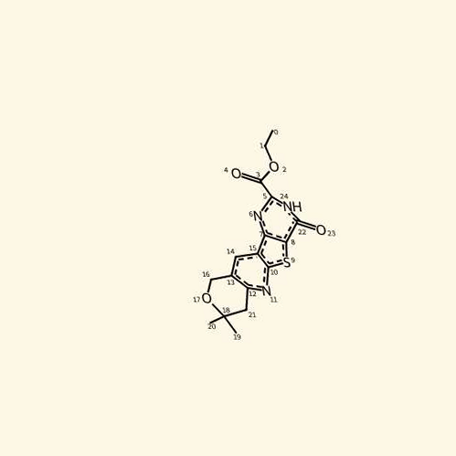 CCOC(=O)c1nc2c(sc3nc4c(cc32)COC(C)(C)C4)c(=O)[nH]1